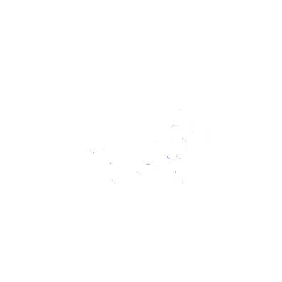 C[C@@H](OC1(C)CCC1)[C@H](NC(=O)C(F)(F)F)C(=O)N1C[C@H]2C[C@@]1(C(=O)N[C@H](C#N)C[C@@H]1CC(C)(C)NC1=O)C2(C)C